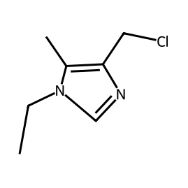 CCn1cnc(CCl)c1C